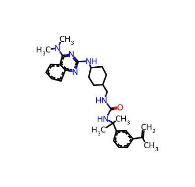 C=C(C)c1cccc(C(C)(C)NC(=O)NCC2CCC(Nc3nc(N(C)C)c4ccccc4n3)CC2)c1